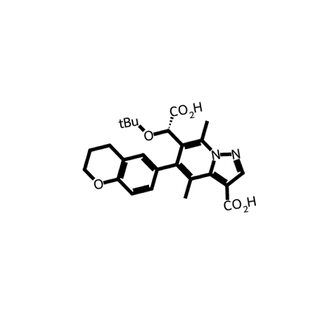 Cc1c(-c2ccc3c(c2)CCCO3)c([C@H](OC(C)(C)C)C(=O)O)c(C)n2ncc(C(=O)O)c12